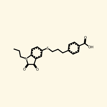 CCCN1C(=O)C(=O)c2cc(SCCCc3ccc(C(=O)O)cc3)ccc21